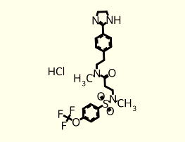 CN(CCc1ccc(C2=NCCN2)cc1)C(=O)CCN(C)S(=O)(=O)c1ccc(OC(F)(F)F)cc1.Cl